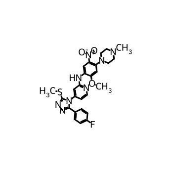 COc1cc(N2CCN(C)CC2)c([N+](=O)[O-])cc1Nc1cc(-n2c(SC)nnc2-c2ccc(F)cc2)ccn1